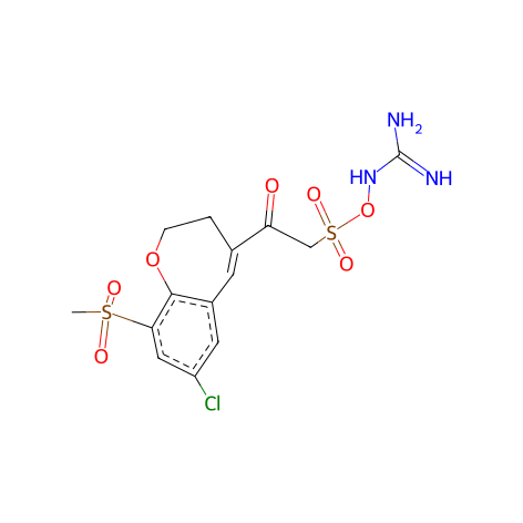 CS(=O)(=O)c1cc(Cl)cc2c1OCCC(C(=O)CS(=O)(=O)ONC(=N)N)=C2